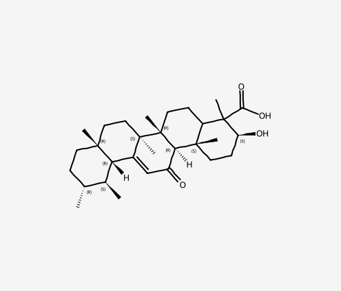 C[C@H]1[C@H](C)CC[C@]2(C)CC[C@]3(C)C(=CC(=O)[C@@H]4[C@@]5(C)CC[C@H](O)C(C)(C(=O)O)C5CC[C@]43C)[C@H]12